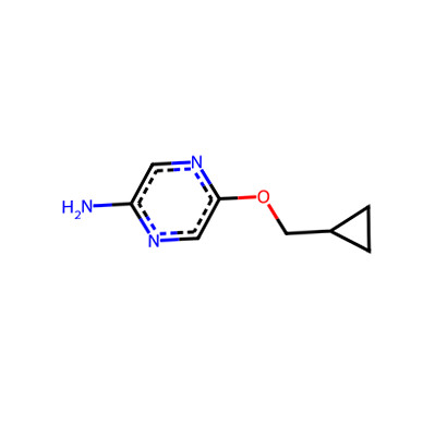 Nc1cnc(OCC2CC2)cn1